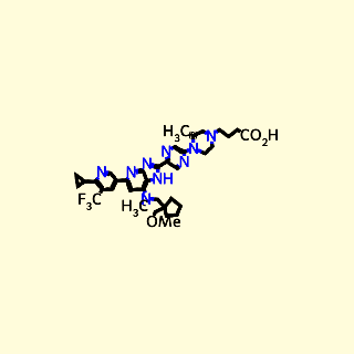 COCC1(CN(C)c2cc(-c3cnc(C4CC4)c(C(F)(F)F)c3)nc3nc(-c4cnc(N5CCN(CCCC(=O)O)C[C@H]5C)cn4)[nH]c23)CCCC1